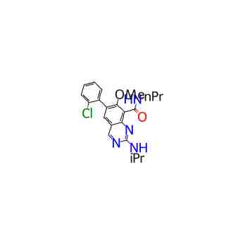 CCCNC(=O)c1c(OC)c(-c2ccccc2Cl)cc2cnc(NC(C)C)nc12